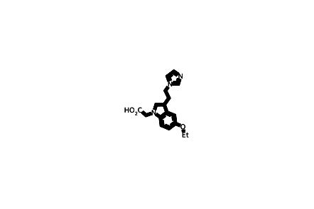 CCOc1ccc2c(c1)C(CCn1ccnc1)CN2CC(=O)O